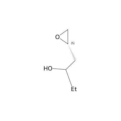 CCC(O)C[C@H]1CO1